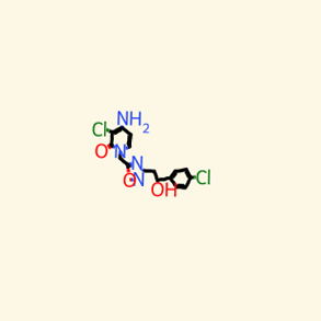 Nc1ccn(Cc2nc(C[C@H](O)c3ccc(Cl)cc3)no2)c(=O)c1Cl